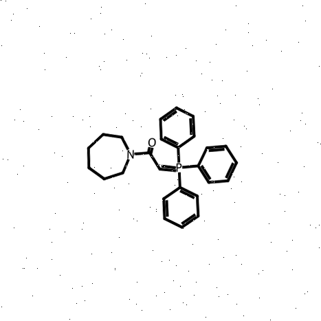 O=C(C=P(c1ccccc1)(c1ccccc1)c1ccccc1)N1CCCCCC1